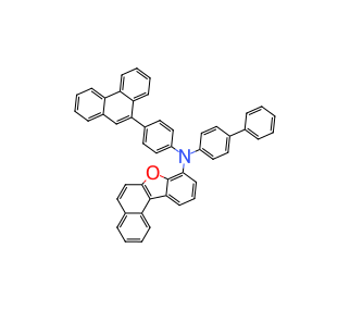 c1ccc(-c2ccc(N(c3ccc(-c4cc5ccccc5c5ccccc45)cc3)c3cccc4c3oc3ccc5ccccc5c34)cc2)cc1